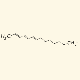 [CH2]CCCCCCC=CC=CC=CC